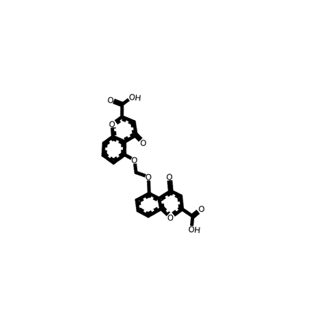 O=C(O)c1cc(=O)c2c(OCOc3cccc4oc(C(=O)O)cc(=O)c34)cccc2o1